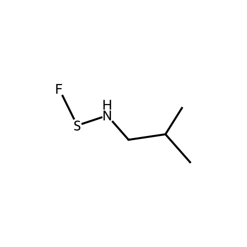 CC(C)CNSF